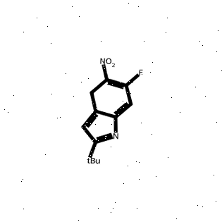 CC(C)(C)C1=NC2=CC(F)=C([N+](=O)[O-])CC2=C1